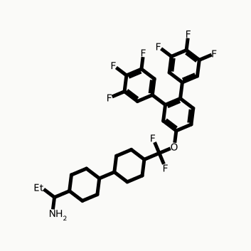 CCC(N)C1CCC(C2CCC(C(F)(F)Oc3ccc(-c4cc(F)c(F)c(F)c4)c(-c4cc(F)c(F)c(F)c4)c3)CC2)CC1